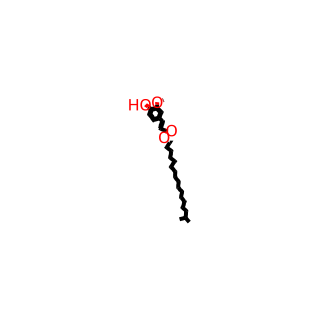 COc1cc(C=CC(=O)OCCCCCCCCCCCCCCCC(C)C)ccc1O